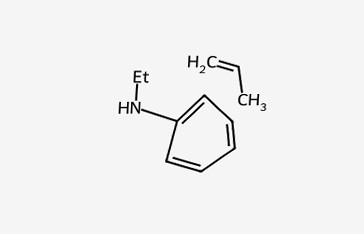 C=CC.CCNc1ccccc1